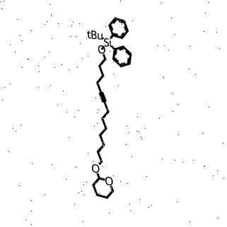 CC(C)(C)[Si](OCCCCC#CCCCCCCCOC1CCCCO1)(c1ccccc1)c1ccccc1